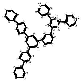 c1ccc(-c2ccc(-c3cc(-c4ccc(-c5ccccc5)cc4)cc(-c4cccc(-c5nc(-c6ccncc6)nc(-c6ccncc6)n5)c4)c3)cc2)cc1